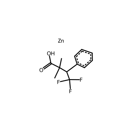 CC(C)(C(=O)O)C(c1ccccc1)C(F)(F)F.[Zn]